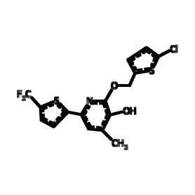 Cc1cc(-c2ccc(C(F)(F)F)s2)nc(OCc2ccc(Cl)s2)c1O